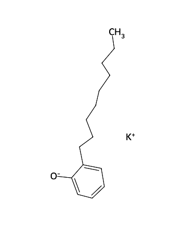 CCCCCCCCCc1ccccc1[O-].[K+]